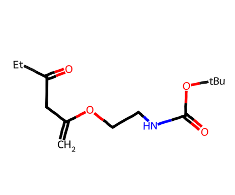 C=C(CC(=O)CC)OCCNC(=O)OC(C)(C)C